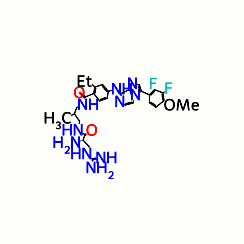 CCc1cc(Nc2nccn3c(-c4ccc(OC)c(F)c4F)cnc23)ccc1C(=O)NCC(C)CNC(=O)[C@@H](N)CNC(=N)N